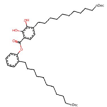 CCCCCCCCCCCCCCCCCCCCc1ccccc1OC(=O)c1ccc(CCCCCCCCCCCCCCCCCCCC)c(O)c1O